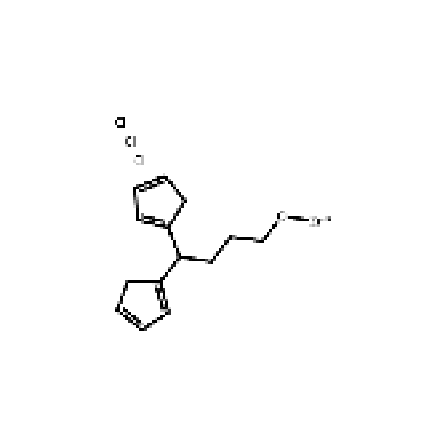 [Cl-].[Cl-].[Cl-].[Zr+3][O]CCCC(C1=CC=CC1)C1=CC=CC1